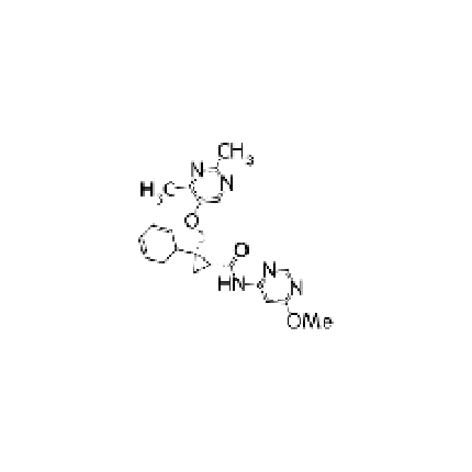 COc1cc(NC(=O)[C@@H]2C[C@@]2(COc2cnc(C)nc2C)C2C=CC=CC2)ncn1